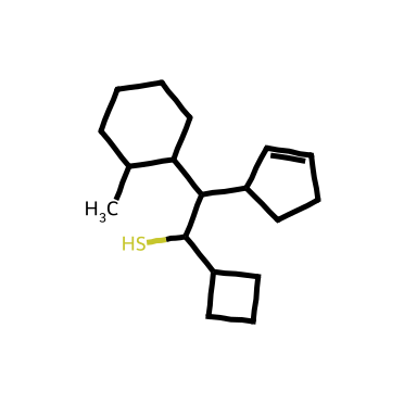 CC1CCCCC1C(C1C=CCC1)C(S)C1CCC1